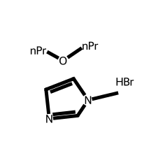 Br.CCCOCCC.Cn1ccnc1